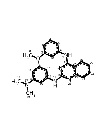 COc1cccc(Nc2nc(Nc3cccc(N(C)C)c3)nc3ccccc23)c1